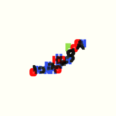 CC(=O)N1CCC(Nc2cc(C(=O)NC[C@H](O)CN3CCc4cc(OCc5ocnc5C)c(F)cc4C3)ccn2)CC1